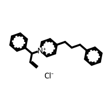 C=CC(c1ccccc1)[n+]1ccc(CCCc2ccccc2)cc1.[Cl-]